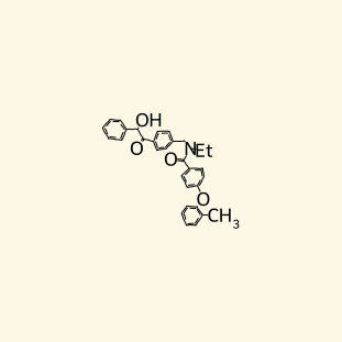 CCN(Cc1ccc(C(=O)C(O)c2ccccc2)cc1)C(=O)c1ccc(Oc2ccccc2C)cc1